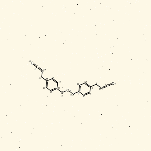 O=C=NCc1ccc(SOSc2ccc(CN=C=O)cc2)cc1